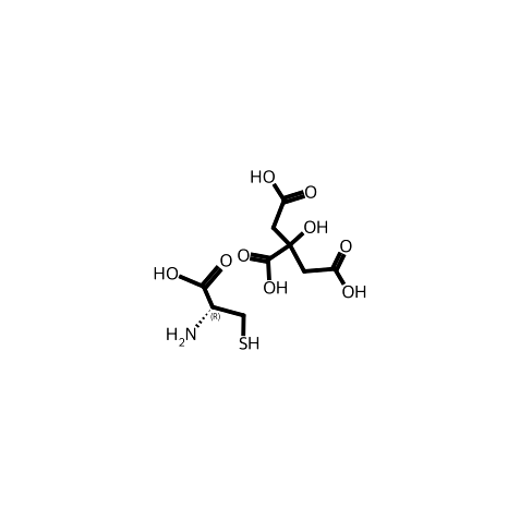 N[C@@H](CS)C(=O)O.O=C(O)CC(O)(CC(=O)O)C(=O)O